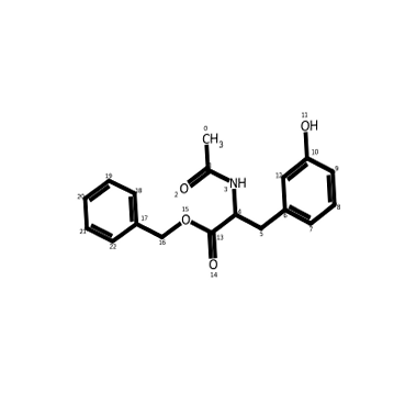 CC(=O)NC(Cc1cccc(O)c1)C(=O)OCc1ccccc1